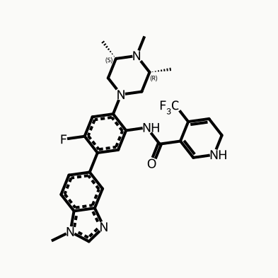 C[C@@H]1CN(c2cc(F)c(-c3ccc4c(c3)ncn4C)cc2NC(=O)C2=CNCC=C2C(F)(F)F)C[C@H](C)N1C